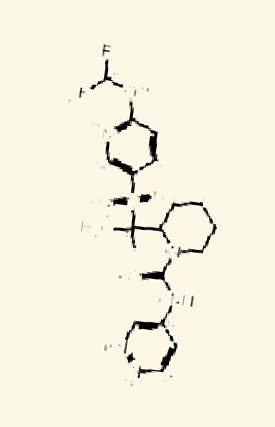 CC(F)(C1CCCCN1C(=O)Nc1ccnnc1)S(=O)(=O)c1ccc(OC(F)F)nc1